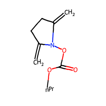 C=C1CCC(=C)N1OC(=O)OCCC